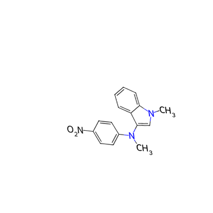 CN(c1ccc([N+](=O)[O-])cc1)c1cn(C)c2ccccc12